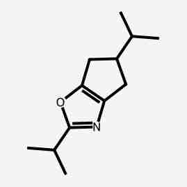 CC(C)c1nc2c(o1)CC(C(C)C)C2